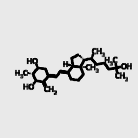 C=C1/C(=C/C=C2\CCC[C@]3(C)[C@@H]([C@@H](C)CCCC(C)(C)O)CC[C@@H]23)C[C@H](O)[C@@H](C)[C@@H]1O